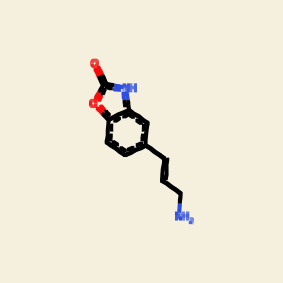 NCC=Cc1ccc2oc(=O)[nH]c2c1